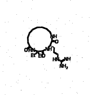 CCC1(CC)NC(=O)CCCCCCCCNC(=O)[C@H](CCCNC(=N)N)NC1=O